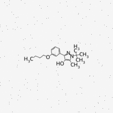 CCCCOc1cccc(-c2nn(C(C)(C)C)c(C)c2O)c1